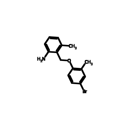 Cc1cc(Br)ccc1OCc1c(C)cccc1N